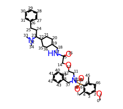 COc1cc(C)c(S(=O)(=O)N(CCOCC(=O)NCC2CCC(C(CCc3ccccc3)N(C)C)CC2)Cc2ccccc2)c(C)c1